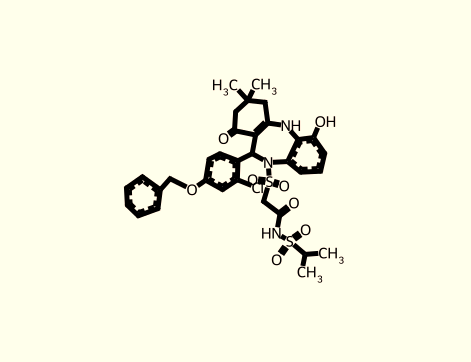 CC(C)S(=O)(=O)NC(=O)CS(=O)(=O)N1c2cccc(O)c2NC2=C(C(=O)CC(C)(C)C2)C1c1ccc(OCc2ccccc2)cc1Cl